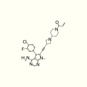 C=CC(=O)N1CCC(N2CC(C#Cc3c(-c4ccc(Cl)c(F)c4)c4c(N)ncnc4n3C)C2)CC1